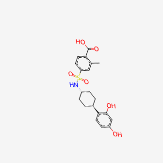 Cc1cc(S(=O)(=O)N[C@H]2CC[C@H](c3ccc(O)cc3O)CC2)ccc1C(=O)O